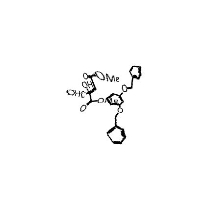 COC(=O)CC(O)(C=O)C(=O)OC.c1ccc(COc2cccc(OCc3ccccc3)c2)cc1